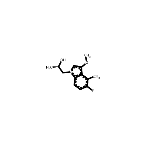 COc1cn(C[C@@H](C)O)c2ccc(F)c(C)c12